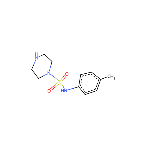 Cc1ccc(NS(=O)(=O)N2CCNCC2)cc1